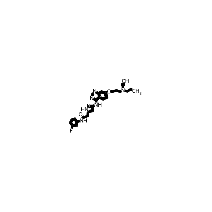 C#CN(CCC)CCCOc1ccc2c(Nc3cc(CC(=O)Nc4cccc(F)c4)[nH]n3)ncnc2c1